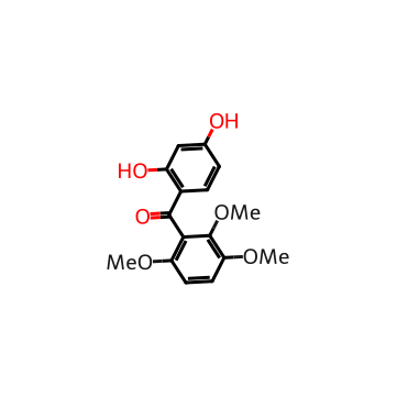 COc1ccc(OC)c(C(=O)c2ccc(O)cc2O)c1OC